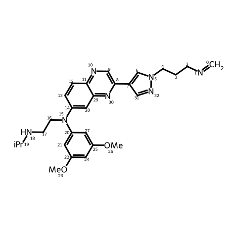 C=NCCCn1cc(-c2cnc3ccc(N(CCNC(C)C)c4cc(OC)cc(OC)c4)cc3n2)cn1